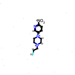 O=[N+]([O-])c1ccc(N2CCN(CCF)CC2)cn1